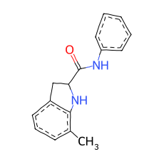 Cc1cccc2c1NC(C(=O)Nc1ccccc1)C2